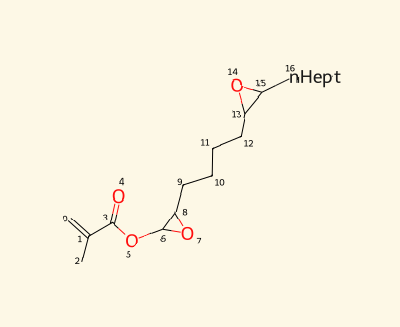 C=C(C)C(=O)OC1OC1CCCCC1OC1CCCCCCC